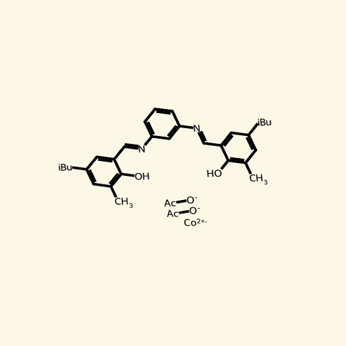 CC(=O)[O-].CC(=O)[O-].CCC(C)c1cc(C)c(O)c(C=Nc2cccc(N=Cc3cc(C(C)CC)cc(C)c3O)c2)c1.[Co+2]